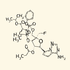 CCC(=O)O[C@H]1[C@H](c2ccc3c(N)ncnn23)O[C@](CF)(CO[P@@](=O)(N[C@@H](C)C(=O)OC(C)C)Oc2ccccc2)[C@H]1OC(=O)CC